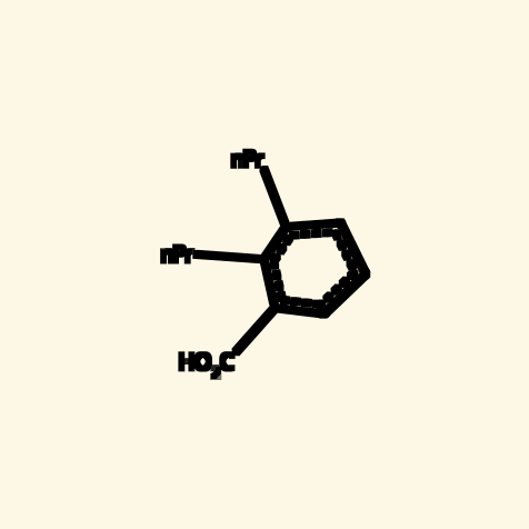 CCCc1cccc(C(=O)O)c1CCC